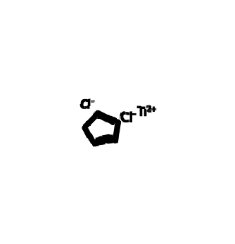 C1=CCC=C1.[Cl-].[Cl-].[Ti+2]